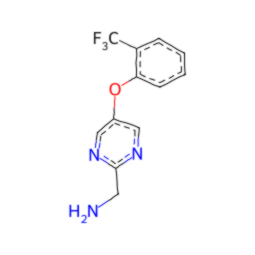 NCc1ncc(Oc2ccccc2C(F)(F)F)cn1